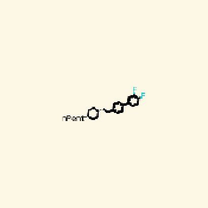 CCCCC[C@H]1CC[C@H](CCc2ccc(-c3ccc(F)c(F)c3)cc2)CC1